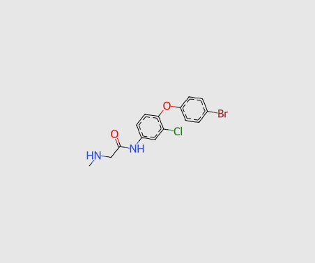 CNCC(=O)Nc1ccc(Oc2ccc(Br)cc2)c(Cl)c1